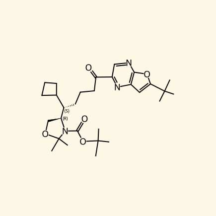 CC(C)(C)OC(=O)N1[C@H]([C@@H](CCCC(=O)c2cnc3oc(C(C)(C)C)cc3n2)C2CCC2)COC1(C)C